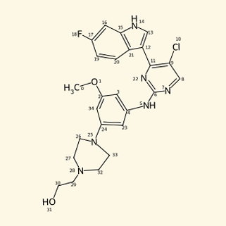 COc1cc(Nc2ncc(Cl)c(-c3c[nH]c4cc(F)ccc34)n2)cc(N2CCN(CCO)CC2)c1